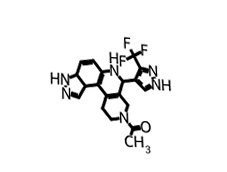 CC(=O)N1CCC2=C(C1)C(c1c[nH]nc1C(F)(F)F)NC1=C2C2C=NNC2C=C1